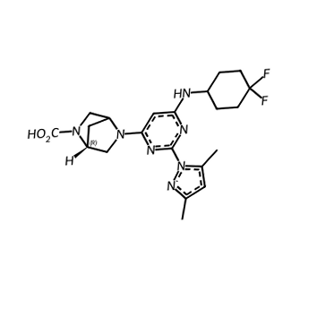 Cc1cc(C)n(-c2nc(NC3CCC(F)(F)CC3)cc(N3C[C@H]4CC3CN4C(=O)O)n2)n1